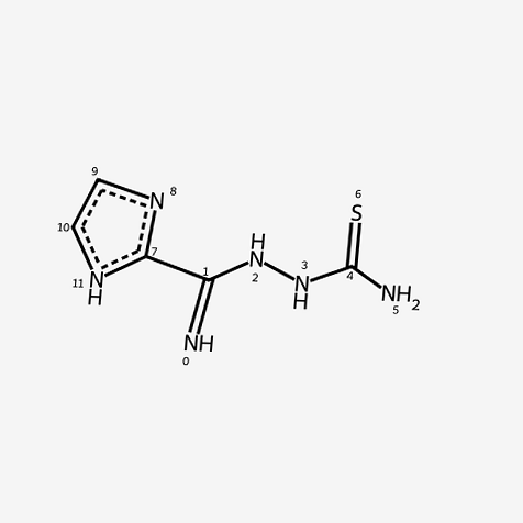 N=C(NNC(N)=S)c1ncc[nH]1